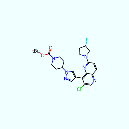 CC(C)(C)OC(=O)N1CCC(n2cc(-c3c(Cl)cnc4ccc(N5CCC(F)C5)nc34)cn2)CC1